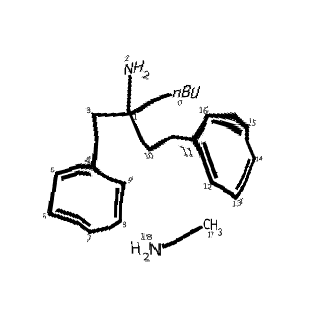 CCCCC(N)(Cc1ccccc1)Cc1ccccc1.CN